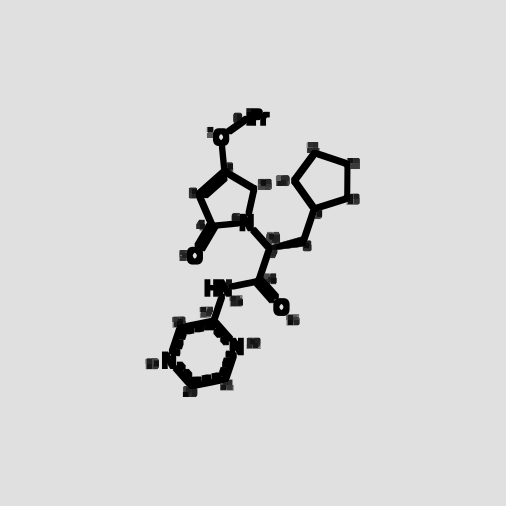 CC(C)OC1=CC(=O)N([C@@H](CC2CCCC2)C(=O)Nc2cnccn2)C1